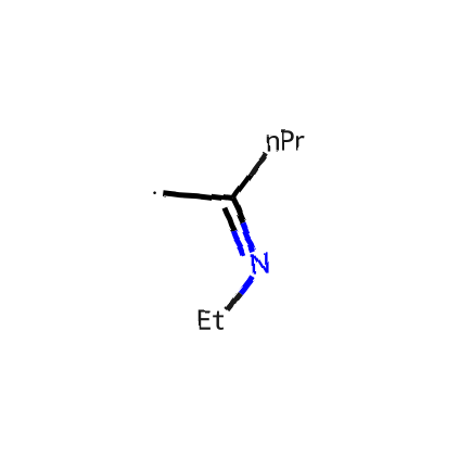 [CH2]C(CCC)=NCC